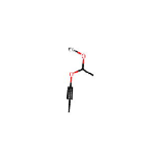 CC#COC(C)OCC